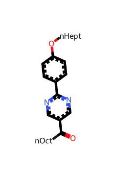 CCCCCCCCC(=O)c1cnc(-c2ccc(OCCCCCCC)cc2)nc1